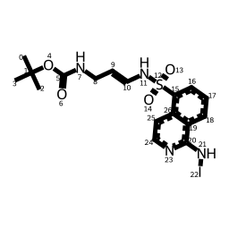 CC(C)(C)OC(=O)NCC=CNS(=O)(=O)c1cccc2c(NI)nccc12